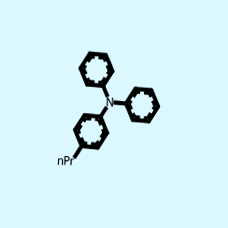 CCCc1ccc(N(c2ccccc2)c2ccccc2)cc1